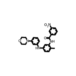 Cc1ccc(Nc2cccc(N3CCOCC3)c2)cc1NC(=O)c1cccc([N+](=O)[O-])c1